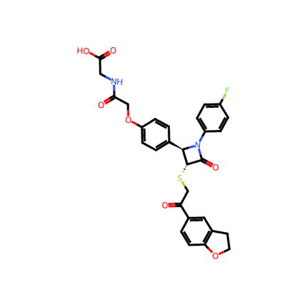 O=C(O)CNC(=O)COc1ccc([C@@H]2[C@@H](SCC(=O)c3ccc4c(c3)CCO4)C(=O)N2c2ccc(F)cc2)cc1